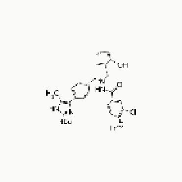 Cc1[nH]c(C(C)(C)C)nc1-c1ccc(CN(Cc2ccccc2O)NC(=O)c2ccc(OC(C)C)c(Cl)c2)cc1